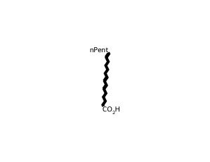 CCCCCC=CCCCCC=CC=CCCCCC(=O)O